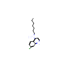 CCCCCCCNc1ccnc2cc(Cl)ccc12